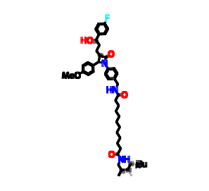 CC[C@@H](C)[C@@H](C)[C@H](C)[C@@H](C)CNC(=O)CCCCCCCCCCC(=O)NCc1ccc(N2C(=O)[C@H](CC[C@H](O)c3ccc(F)cc3)C2c2ccc(OC)cc2)cc1